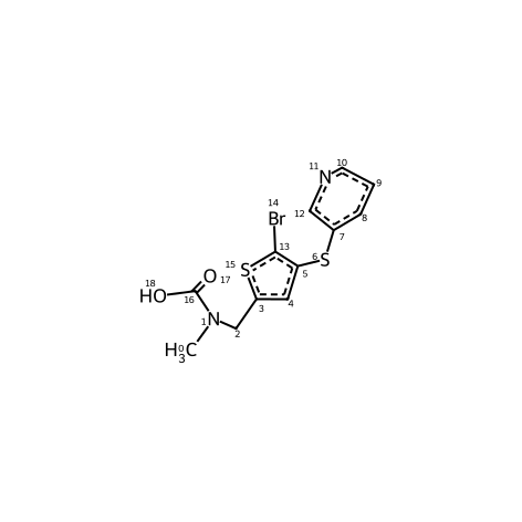 CN(Cc1cc(Sc2cccnc2)c(Br)s1)C(=O)O